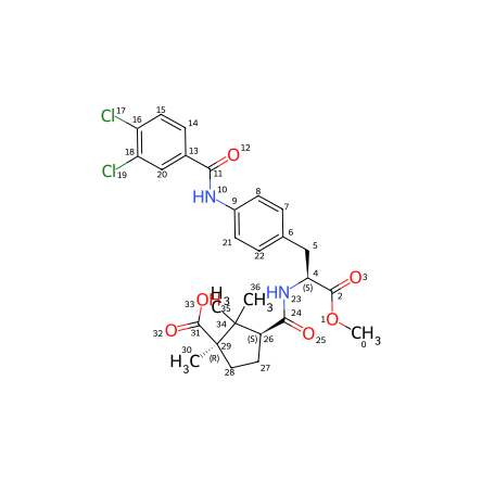 COC(=O)[C@H](Cc1ccc(NC(=O)c2ccc(Cl)c(Cl)c2)cc1)NC(=O)[C@H]1CC[C@@](C)(C(=O)O)C1(C)C